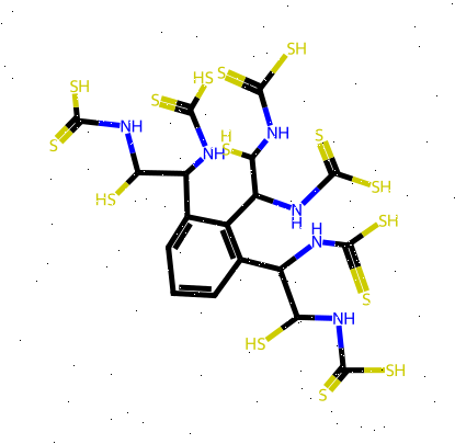 S=C(S)NC(S)C(NC(=S)S)c1cccc(C(NC(=S)S)C(S)NC(=S)S)c1C(NC(=S)S)C(S)NC(=S)S